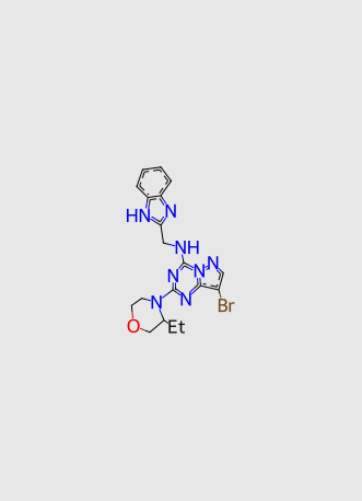 CCC1COCCN1c1nc(NCc2nc3ccccc3[nH]2)n2ncc(Br)c2n1